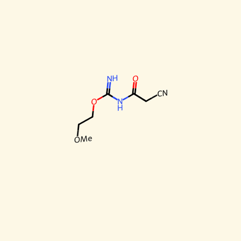 COCCOC(=N)NC(=O)CC#N